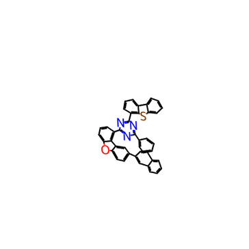 c1ccc(-c2nc(-c3cccc4c3sc3ccccc34)nc(-c3cccc4oc5ccc(-c6ccc7ccccc7c6)cc5c34)n2)cc1